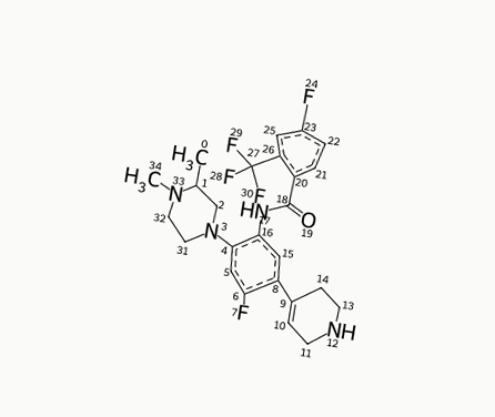 CC1CN(c2cc(F)c(C3=CCNCC3)cc2NC(=O)c2ccc(F)cc2C(F)(F)F)CCN1C